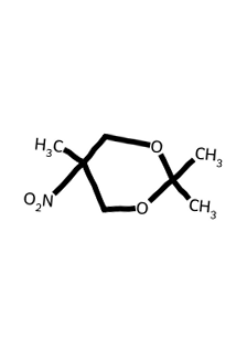 CC1(C)OCC(C)([N+](=O)[O-])CO1